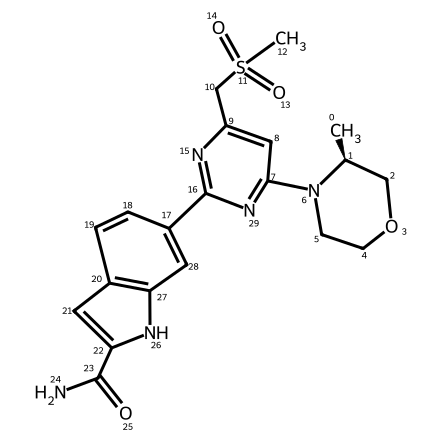 C[C@H]1COCCN1c1cc(CS(C)(=O)=O)nc(-c2ccc3cc(C(N)=O)[nH]c3c2)n1